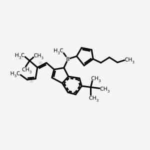 C/C=C\C(=C/C1=Cc2ccc(C(C)(C)C)cc2C1B(C)C1C=CC(CCCC)=C1)C(C)(C)C